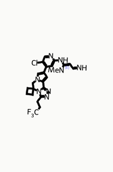 CN/C(=C\C=N)Nc1cc(-c2cc3n(c2)CC2(CCC2)n2c(CCC(F)(F)F)nnc2-3)c(Cl)cn1